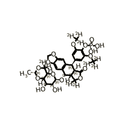 [2H]C([2H])([2H])Oc1cc([C@@H]2c3cc4c(cc3[C@@H](O[C@@H]3O[C@H]5[C@@H](O[C@H](C)OC5([2H])[2H])[C@H](O)[C@H]3O)[C@@H]3[C@@H]2C(=O)OC3([2H])[2H])OCO4)cc(OC([2H])([2H])[2H])c1OP(=O)(O)O